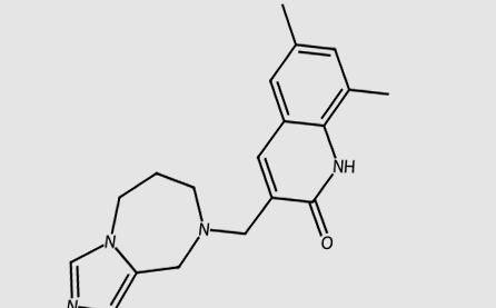 Cc1cc(C)c2[nH]c(=O)c(CN3CCCn4cncc4C3)cc2c1